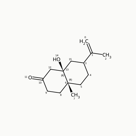 C=C(C)C1CC[C@]2(C)CCC(=O)C[C@]2(O)C1